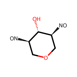 O=N[C@H]1COC[C@@H](N=O)[C@@H]1O